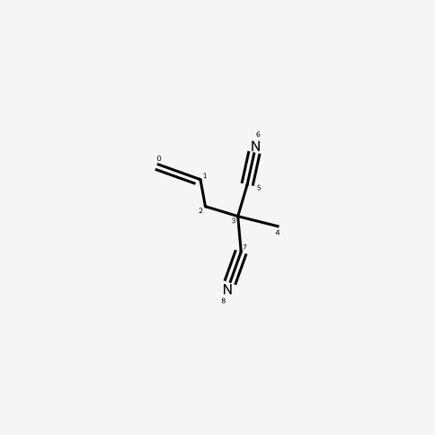 C=CCC(C)(C#N)C#N